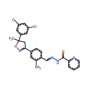 Cc1cc(C2=NOC(c3cc(Cl)cc(Cl)c3)(C(F)(F)F)C2)ccc1/C=N/NC(=O)c1ccccn1